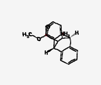 COC(=O)C1C(N)[C@H]2c3ccccc3[C@H]1c1ccccc12